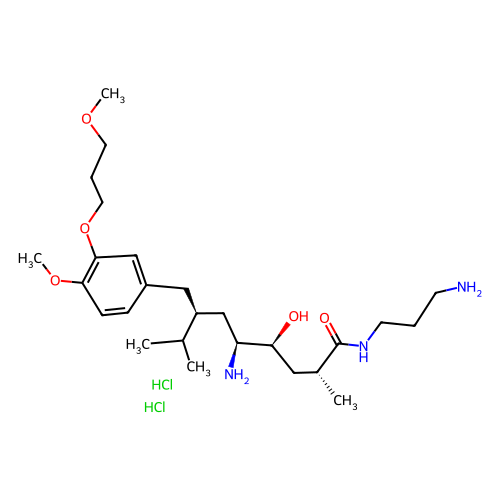 COCCCOc1cc(C[C@@H](C[C@H](N)[C@@H](O)C[C@@H](C)C(=O)NCCCN)C(C)C)ccc1OC.Cl.Cl